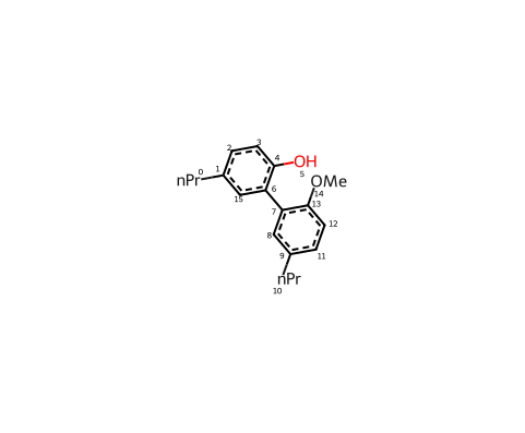 CCCc1ccc(O)c(-c2cc(CCC)ccc2OC)c1